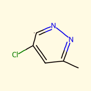 Cc1cc(Cl)[c]nn1